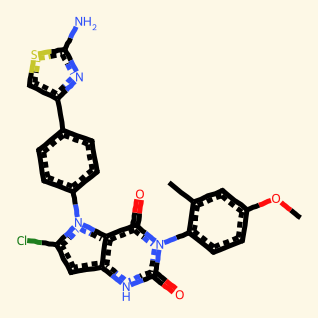 COc1ccc(-n2c(=O)[nH]c3cc(Cl)n(-c4ccc(-c5csc(N)n5)cc4)c3c2=O)c(C)c1